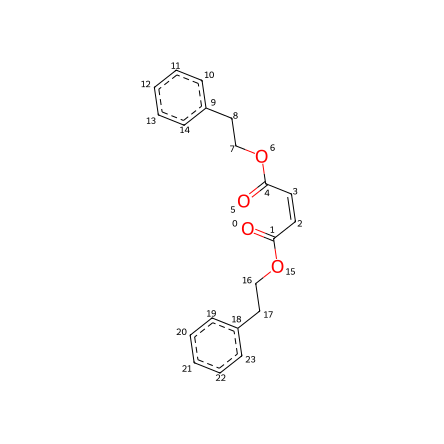 O=C(/C=C\C(=O)OCCc1ccccc1)OCCc1ccccc1